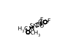 Cc1cccc(C)c1-c1csc(N2CCN(S(=O)(=O)c3ccc(F)cc3F)CC2)n1